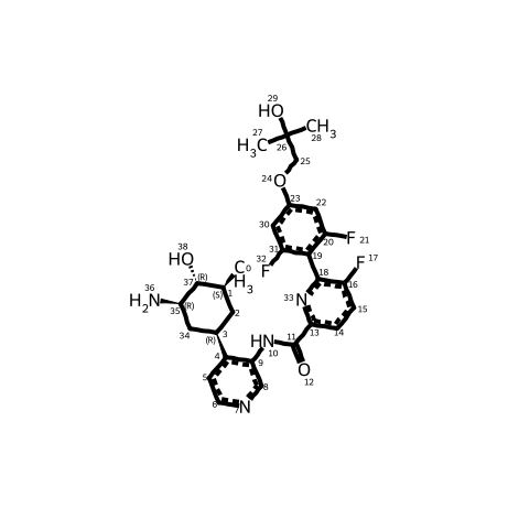 C[C@H]1C[C@@H](c2ccncc2NC(=O)c2ccc(F)c(-c3c(F)cc(OCC(C)(C)O)cc3F)n2)C[C@@H](N)[C@@H]1O